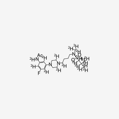 [2H]c1c(F)c([2H])c(N([2H])C(C)=O)c([2H])c1N1CC([2H])N(C([2H])CCCN(C([2H])([2H])[2H])S(=O)(=O)C([2H])([2H])C([2H])(C([2H])([2H])[2H])C([2H])([2H])[2H])C([2H])C1